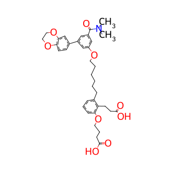 CN(C)C(=O)c1cc(OCCCCCCc2cccc(OCCCC(=O)O)c2CCC(=O)O)cc(-c2ccc3c(c2)OCCO3)c1